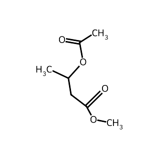 COC(=O)CC(C)OC(C)=O